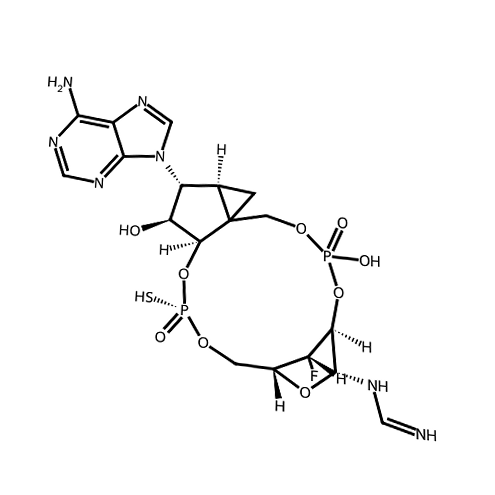 N=CN[C@@H]1O[C@@H]2CO[P@](=O)(S)O[C@H]3[C@@H](O)[C@H](n4cnc5c(N)ncnc54)[C@H]4CC43COP(=O)(O)O[C@@H]1[C@@H]2F